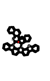 c1ccc(-c2nc(-n3c4ccccc4c4ccc5c6ccc7c8ccccc8oc7c6n(-c6ccccc6)c5c43)nc3c2ccc2ccccc23)cc1